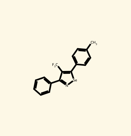 Cc1ccc(-c2[se]nc(-c3ccccc3)c2C(F)(F)F)cc1